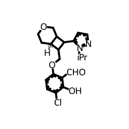 CC(C)n1nccc1C1C2COCC[C@@H]2C1COc1ccc(Cl)c(O)c1C=O